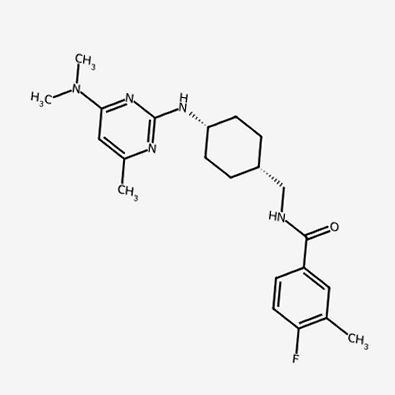 Cc1cc(N(C)C)nc(N[C@H]2CC[C@@H](CNC(=O)c3ccc(F)c(C)c3)CC2)n1